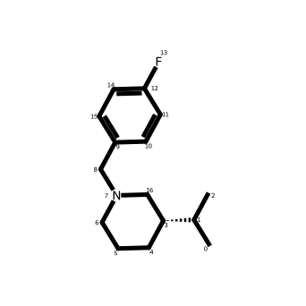 CC(C)[C@@H]1CCCN(Cc2ccc(F)cc2)C1